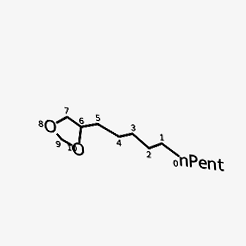 CCCCCCCCCCC1COCO1